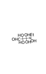 CC[C@H](O)C(O)(O)C(O)(O)C=O